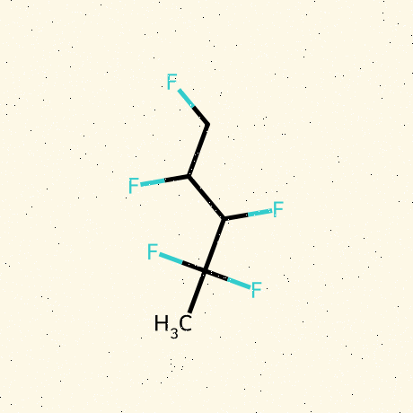 CC(F)(F)C(F)C(F)CF